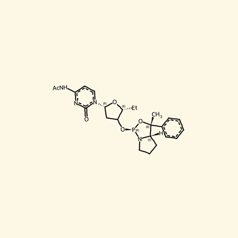 CC[C@H]1O[C@@H](n2ccc(NC(C)=O)nc2=O)CC1O[P@@]1O[C@](C)(c2ccccc2)[C@@H]2CCCN21